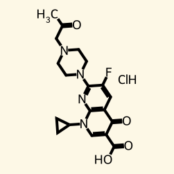 CC(=O)CN1CCN(c2nc3c(cc2F)c(=O)c(C(=O)O)cn3C2CC2)CC1.Cl